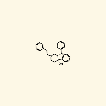 OC(c1ccccc1)[C@H]1CN(CCc2ccccc2)CC[C@]1(O)c1ccccc1